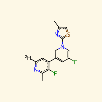 [2H]c1cc(C2=CC(F)=CN(c3nc(C)cs3)C2)c(F)c(C)n1